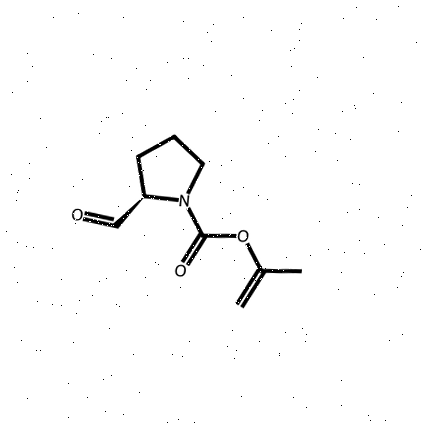 C=C(C)OC(=O)N1CCC[C@@H]1C=O